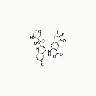 COC(=O)c1cc(C(=O)C(F)(F)F)ccc1Nc1cc(S(=O)(=O)C2COCCN2)nc2ccc(Cl)cc12